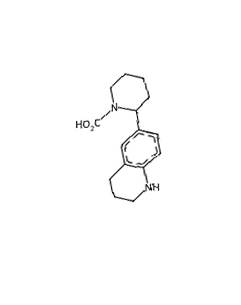 O=C(O)N1CCCCC1c1ccc2c(c1)CCCN2